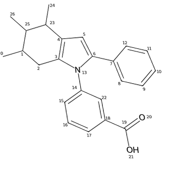 CC1Cc2c(cc(-c3ccccc3)n2-c2cccc(C(=O)O)c2)C(C)C1C